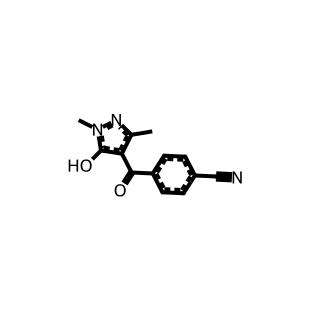 Cc1nn(C)c(O)c1C(=O)c1ccc(C#N)cc1